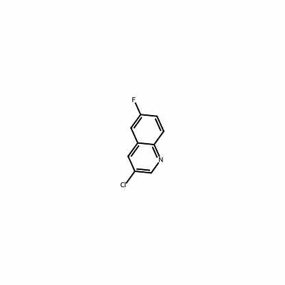 Fc1ccc2ncc(Cl)cc2c1